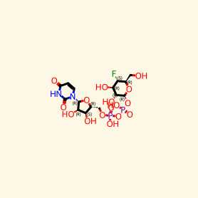 O=c1ccn([C@@H]2O[C@H](COP(=O)(O)OP(=O)(O)O[C@H]3O[C@H](CO)[C@@H](F)[C@H](O)[C@H]3O)[C@@H](O)[C@H]2O)c(=O)[nH]1